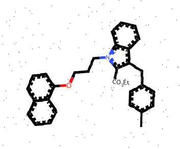 CCOC(=O)c1c(Cc2ccc(C)cc2)c2ccccc2n1CCCOc1cccc2ccccc12